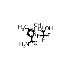 Cc1cc(C(N)=O)nn1C.O=C(O)C(F)(F)F